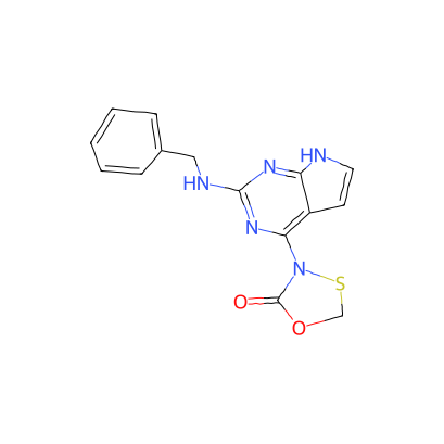 O=C1OCSN1c1nc(NCc2ccccc2)nc2[nH]ccc12